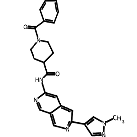 Cn1cc(-c2cc3cc(NC(=O)C4CCN(C(=O)c5ccccc5)CC4)ncc3cn2)cn1